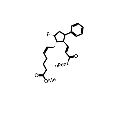 CCCCCC(=O)/C=C/[C@@H]1C(c2ccccc2)C[C@@H](F)[C@H]1C/C=C\CCCC(=O)OC